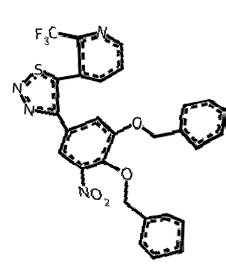 O=[N+]([O-])c1cc(-c2nnsc2-c2cccnc2C(F)(F)F)cc(OCc2ccccc2)c1OCc1ccccc1